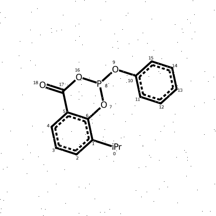 CC(C)c1cccc2c1OP(Oc1ccccc1)OC2=O